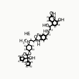 CN(CCC(=O)Nc1ccc(CNCC(O)c2ccc(O)c3[nH]c(=O)ccc23)cc1F)C1CCC(OC(=O)C(O)(c2cccs2)c2cccs2)CC1.F